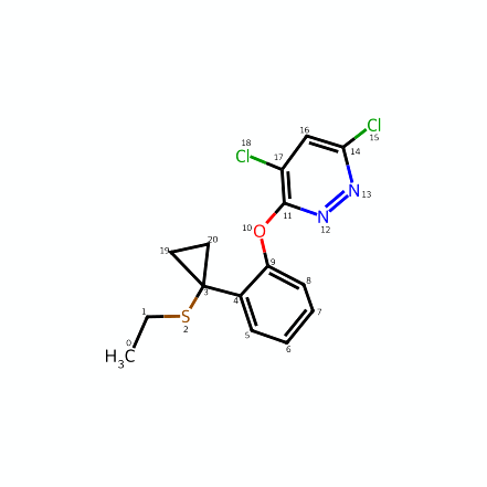 CCSC1(c2ccccc2Oc2nnc(Cl)cc2Cl)CC1